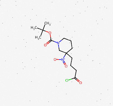 CC(C)(C)OC(=O)N1CCCC(CCCC(=O)Cl)([N+](=O)[O-])C1